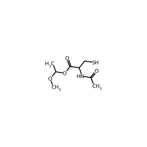 COC(C)OC(=O)C(CS)NC(C)=O